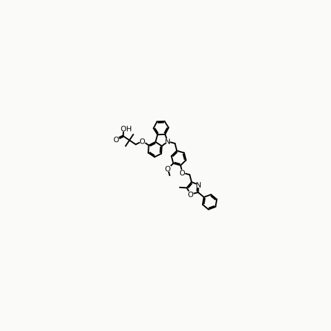 COc1cc(Cn2c3ccccc3c3c(OCC(C)(C)C(=O)O)cccc32)ccc1OCc1nc(-c2ccccc2)oc1C